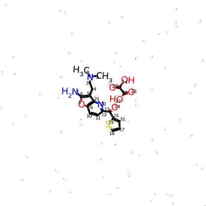 CN(C)CCc1c(N)oc2ccc(C(=O)c3cccs3)nc12.O=C(O)C(=O)O